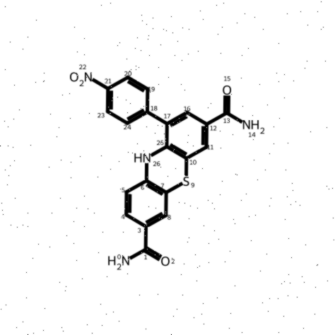 NC(=O)c1ccc2c(c1)Sc1cc(C(N)=O)cc(-c3ccc([N+](=O)[O-])cc3)c1N2